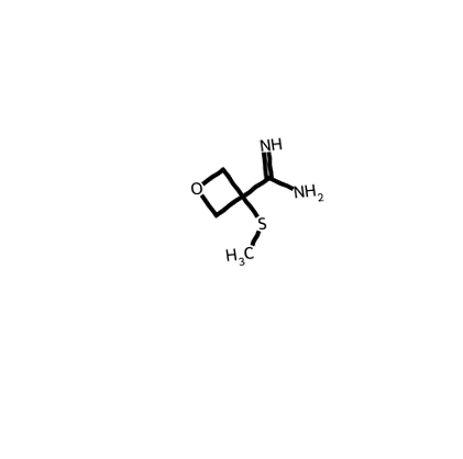 CSC1(C(=N)N)COC1